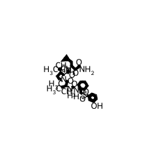 CC(C)(C)[C@H](NC(=O)NC1(CS(=O)(=O)c2cccc(O)c2)CCCCC1)C(=O)N1CC[C@@H](C(C)(C)C)[C@H]1C(=O)NC(CC1CC1)C(=O)C(N)=O